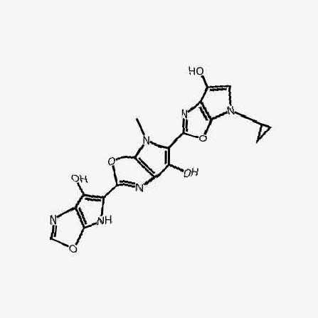 Cn1c(-c2nc3c(O)cn(C4CC4)c3o2)c(O)c2nc(-c3[nH]c4ocnc4c3O)oc21